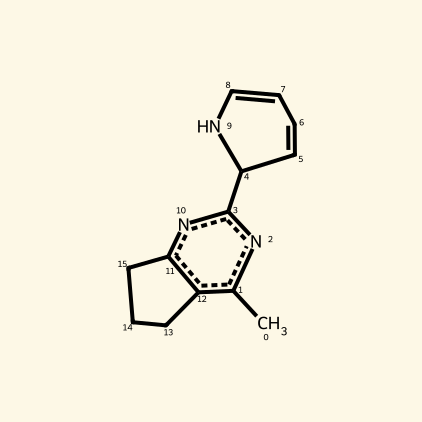 Cc1nc(C2C=CC=CN2)nc2c1CCC2